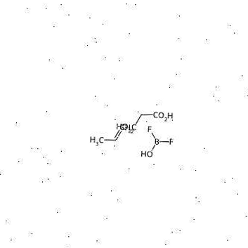 C=CC.O=C(O)CC(=O)O.OB(F)F